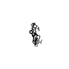 Cc1nc2c(NCC(=O)OC(C)(C)C)cccc2cc1N1CCC(=O)NC1=O